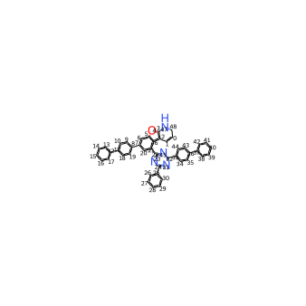 C1=Cc2c(oc3cc(-c4ccc(-c5ccccc5)cc4)cc(-c4nc(-c5ccccc5)nc(-c5ccc(-c6ccccc6)cc5)n4)c23)NC1